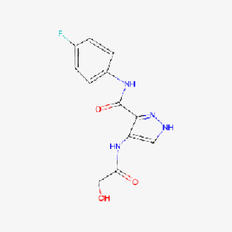 O=C(CO)Nc1c[nH]nc1C(=O)Nc1ccc(F)cc1